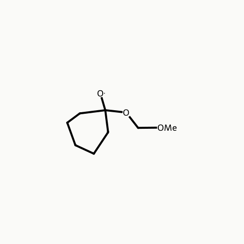 COCOC1([O])CCCCC1